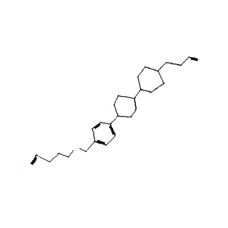 C=CCCCOCc1ccc(C2CCC(C3CCC(CCC=C)CC3)CC2)cc1